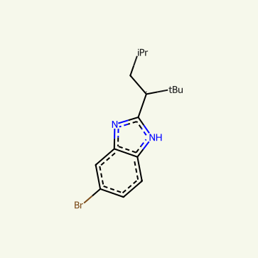 CC(C)C[C](c1nc2cc(Br)ccc2[nH]1)C(C)(C)C